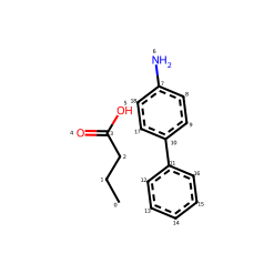 CCCC(=O)O.Nc1ccc(-c2ccccc2)cc1